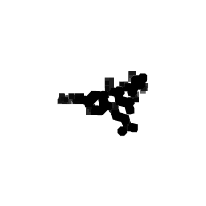 CC(=O)Nc1cc(Nc2cc(C)nc(C(C)(F)F)n2)c(OCCN(C)C)cn1